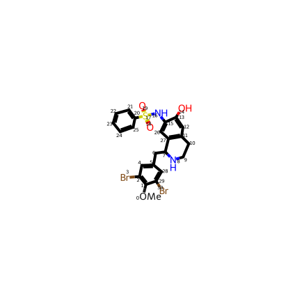 COc1c(Br)cc(CC2NCCc3cc(O)c(NS(=O)(=O)c4ccccc4)cc32)cc1Br